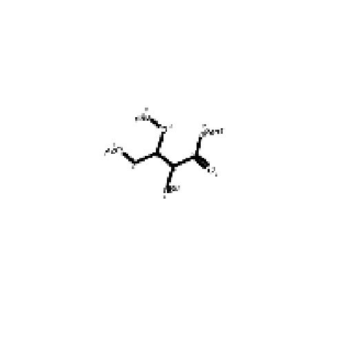 CCCCCC(=O)C(CCCC)C(COC(C)=O)OCCCC